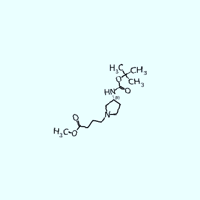 COC(=O)CCCN1CC[C@@H](NC(=O)OC(C)(C)C)C1